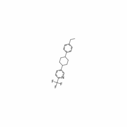 CCc1ccc(C2CCC(c3ccc(C(F)(F)F)nc3)CC2)cc1